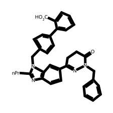 CCCc1nc2ccc(C3=NN(Cc4ccccc4)C(=O)CC3)cc2n1Cc1ccc(-c2ccccc2C(=O)O)cc1